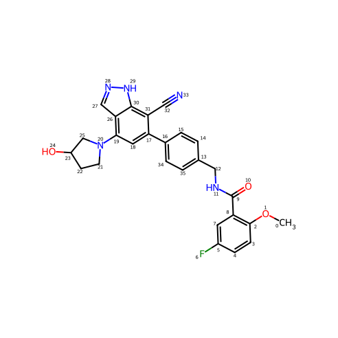 COc1ccc(F)cc1C(=O)NCc1ccc(-c2cc(N3CCC(O)C3)c3cn[nH]c3c2C#N)cc1